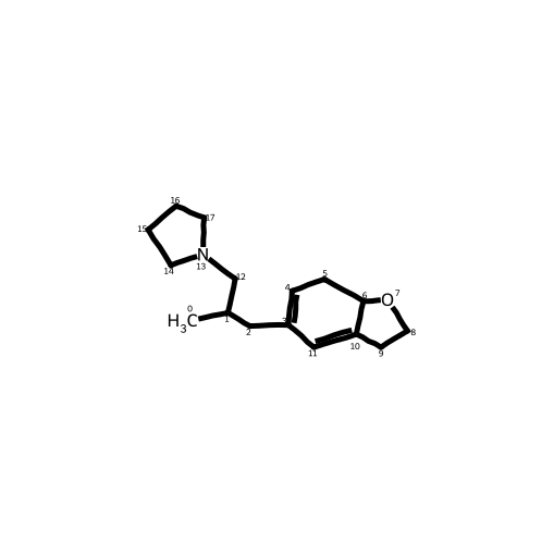 CC(CC1=CCC2OCCC2=C1)CN1CCCC1